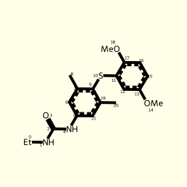 CCNC(=O)Nc1cc(C)c(Sc2cc(OC)ccc2OC)c(C)c1